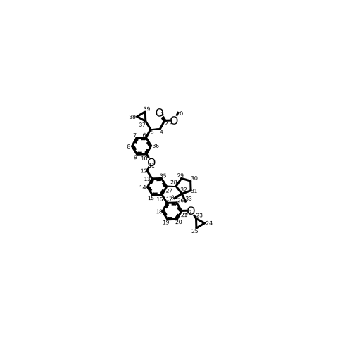 COC(=O)C[C@@H](c1cccc(OCc2ccc(-c3cccc(OC4CC4)c3)c([C@H]3CCCC3(C)C)c2)c1)C1CC1